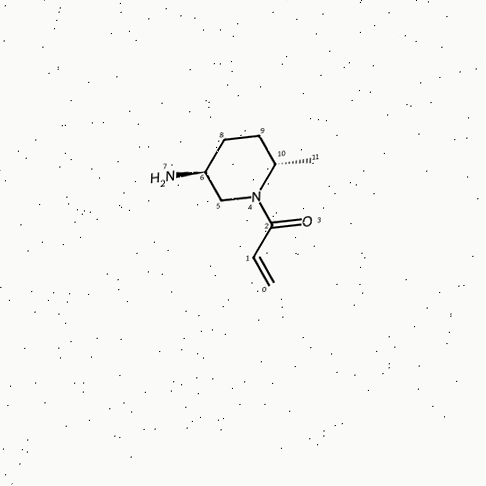 C=CC(=O)N1C[C@@H](N)CC[C@@H]1C